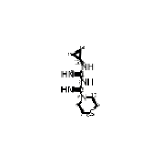 N=C(NC(=N)N1CCSCC1)NC1CC1